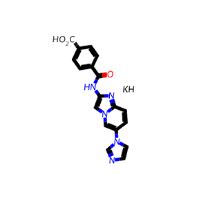 O=C(O)c1ccc(C(=O)Nc2cn3cc(-n4ccnc4)ccc3n2)cc1.[KH]